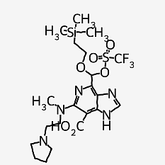 CN(CCN1CCCC1)c1nc(C(OCC[Si](C)(C)C)OS(=O)(=O)C(F)(F)F)c2nc[nH]c2c1C(=O)O